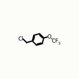 FC(F)(F)Oc1ccc([CH]Cl)cc1